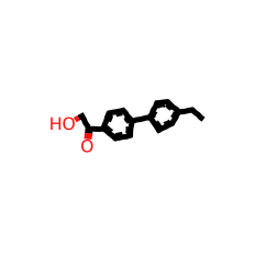 CCc1ccc(-c2ccc(C(=O)CO)cc2)cc1